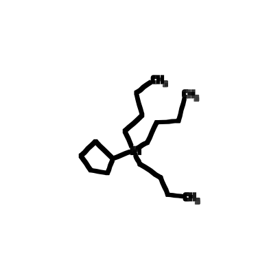 CCC[CH2][Sn]([CH2]CCC)([CH2]CCC)[C]1CCCC1